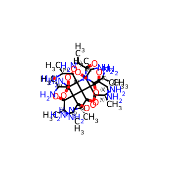 C[C@H](N)C(=O)N(C(=O)[C@H](C)N)[C@@](C(N)=O)(C(=O)[C@H](C)N)C(C(=O)[C@H](C)N)(C(C(=O)[C@H](C)N)(C(=O)[C@H](C)N)C(=O)[C@H](C)N)C(C(=O)[C@H](C)N)(C(=O)[C@H](C)N)C(=O)[C@H](C)N